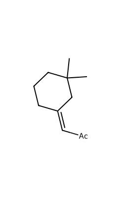 CC(=O)/C=C1/CCCC(C)(C)C1